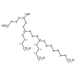 CCCC(CCCC(=O)O)CCC(CCCC(=O)O)CCCC(CCCCCCCC(=O)O)CCCC(=O)O